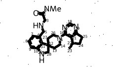 CNC(=O)CNCc1cccc2c1C1(CCN(c3ncnc4c3C(C)CC4)CC1)CN2